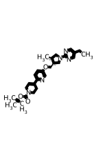 CCc1cnc(N2C[C@@H](COc3ccc(C4=CCN(C(=O)OC(C)(C)C)CC4)nc3)[C@@H](C)C2)nc1